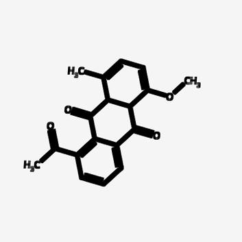 COC1=CC=C(C)C2C(=O)c3c(C(C)=O)cccc3C(=O)C12